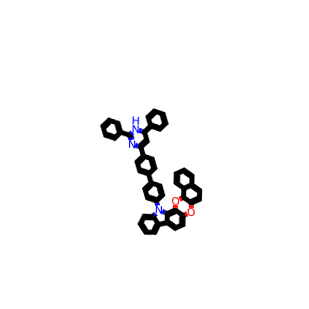 C1=CC2=CC=C3Oc4ccc5c6ccccc6n(-c6ccc(-c7ccc(C8=CC(c9ccccc9)NC(c9ccccc9)=N8)cc7)cc6)c5c4OC3C2C=C1